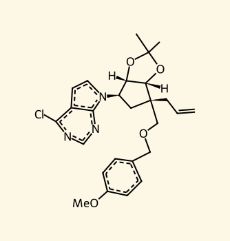 C=CC[C@@]1(COCc2ccc(OC)cc2)C[C@@H](n2ccc3c(Cl)ncnc32)[C@@H]2OC(C)(C)O[C@@H]21